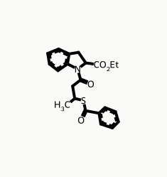 CCOC(=O)C1Cc2ccccc2N1C(=O)CC(C)SC(=O)c1ccccc1